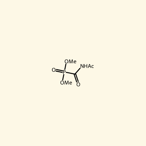 COP(=O)(OC)C(=O)NC(C)=O